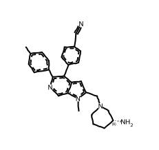 Cc1ccc(-c2ncc3c(cc(CN4CCC[C@@H](N)C4)n3C)c2-c2ccc(C#N)cc2)cc1